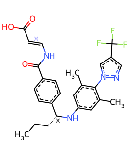 CCC[C@@H](Nc1cc(C)c(-n2cc(C(F)(F)F)cn2)c(C)c1)c1ccc(C(=O)N/C=C/C(=O)O)cc1